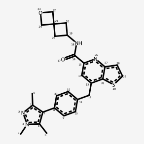 Cc1nn(C)c(C)c1-c1ccc(Cc2cc(C(=O)NC3CC4(COC4)C3)nc3ccsc23)cc1